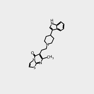 Cc1nc2sccn2c(=O)c1CCN1CCC(c2c[nH]c3ccccc23)CC1